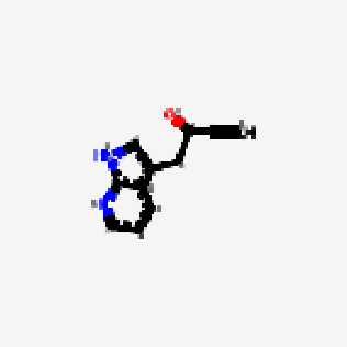 C#CC(=O)Cc1c[nH]c2ncccc12